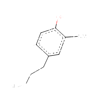 CCCCCCCCCc1ccc(O)c(NC)c1